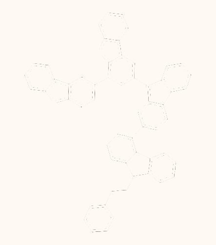 c1ccc(CCC2c3ccccc3-c3c(-c4ccc5c6ccccc6n(-c6cc(-c7ccc8sc9ccccc9c8c7)c7sc8ccccc8c7c6)c5c4)cccc32)cc1